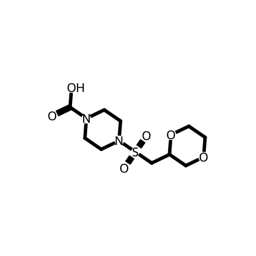 O=C(O)N1CCN(S(=O)(=O)CC2COCCO2)CC1